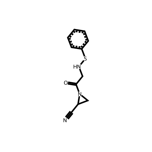 N#CC1CN1C(=O)CNSc1ccccc1